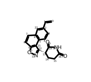 C=Cc1ccc2c(ccc3onc([C@H]4CCC(=O)NC4=O)c32)c1